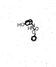 O=C(NN=C1C2CC3CC1CC(O)(C3)C2)OCc1ccccc1